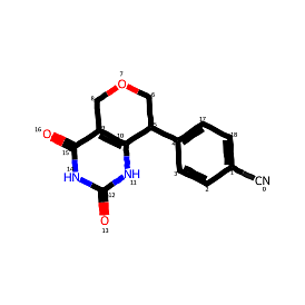 N#Cc1ccc(C2COCc3c2[nH]c(=O)[nH]c3=O)cc1